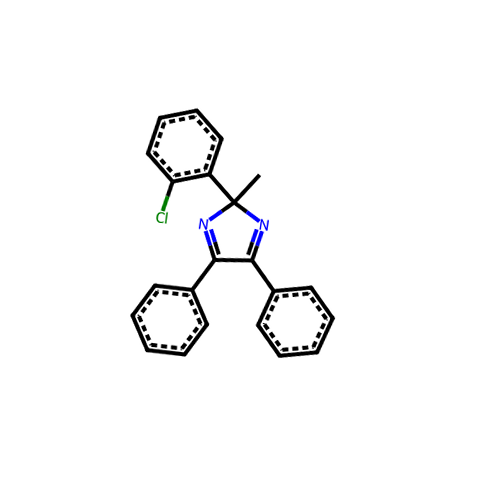 CC1(c2ccccc2Cl)N=C(c2ccccc2)C(c2ccccc2)=N1